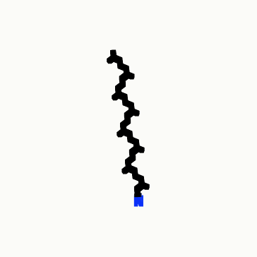 CC(C)=CCCC(C)=CCCC(C)=CCCC(C)=CCCC(C)=CCCC(C)=CCCC(C)=CCCC(C)=CC#N